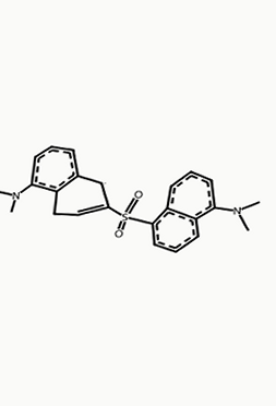 CN(C)c1cccc2c1CC=C(S(=O)(=O)c1cccc3c(N(C)C)cccc13)[CH]2